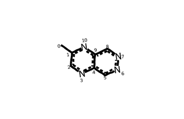 Cc1cnc2cnncc2n1